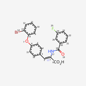 O=C(O)/C(=C/c1ccc(Oc2ccccc2Br)cc1)NC(=O)c1cccc(F)c1